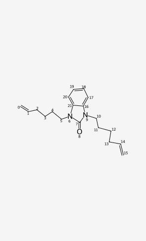 C=CCCCCn1c(=O)n(CCCCC=C)c2ccccc21